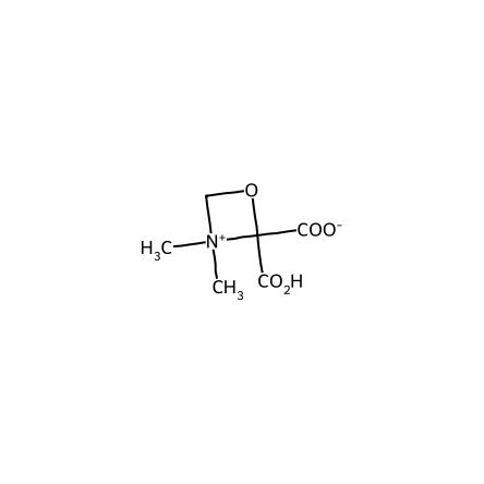 C[N+]1(C)COC1(C(=O)[O-])C(=O)O